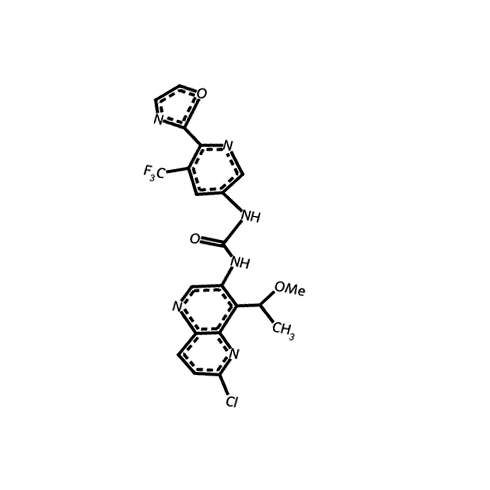 COC(C)c1c(NC(=O)Nc2cnc(-c3ncco3)c(C(F)(F)F)c2)cnc2ccc(Cl)nc12